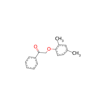 Cc1ccc(OCC(=O)c2ccccc2)c(C)c1